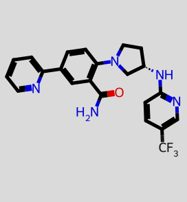 NC(=O)c1cc(-c2ccccn2)ccc1N1CC[C@H](Nc2ccc(C(F)(F)F)cn2)C1